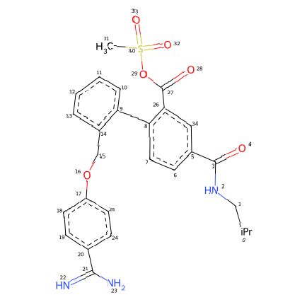 CC(C)CNC(=O)c1ccc(-c2ccccc2COc2ccc(C(=N)N)cc2)c(C(=O)OS(C)(=O)=O)c1